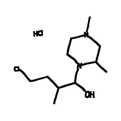 CC(CCCl)C(O)N1CCN(C)CC1C.Cl